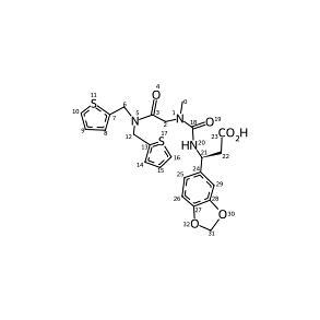 CN(CC(=O)N(Cc1cccs1)Cc1cccs1)C(=O)N[C@@H](CC(=O)O)c1ccc2c(c1)OCO2